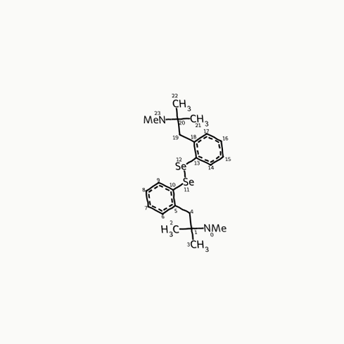 CNC(C)(C)Cc1ccccc1[Se][Se]c1ccccc1CC(C)(C)NC